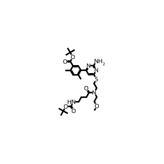 COCCN(CCSc1cc(-c2cc(C(=O)OC(C)(C)C)c(C)cc2C)nc(N)n1)C(=O)CCCNC(=O)OC(C)(C)C